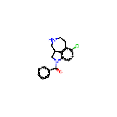 O=C(c1ccccc1)N1CC2CNCCc3c(Cl)ccc1c32